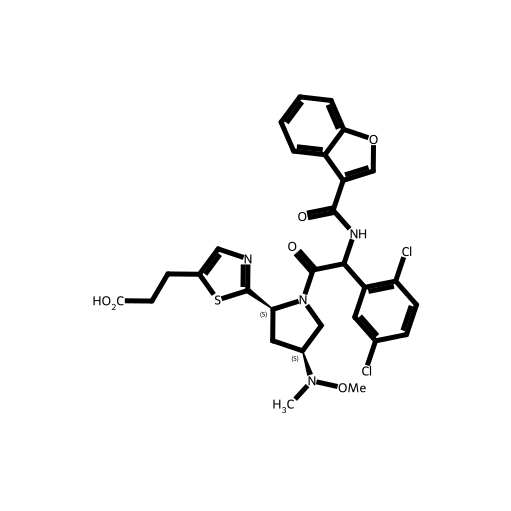 CON(C)[C@H]1C[C@@H](c2ncc(CCC(=O)O)s2)N(C(=O)C(NC(=O)c2coc3ccccc23)c2cc(Cl)ccc2Cl)C1